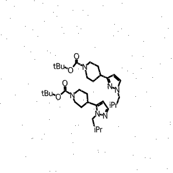 CC(C)Cn1ccc(C2CCN(C(=O)OC(C)(C)C)CC2)n1.CC(C)Cn1nccc1C1CCN(C(=O)OC(C)(C)C)CC1